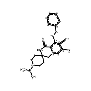 CB(O)N1CCC2(CC1)Cn1cc(Br)c(=O)c(OCc3ccccc3)c1C(=O)N2